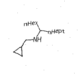 CCCCCCCC(CCCCCC)NCC1CC1